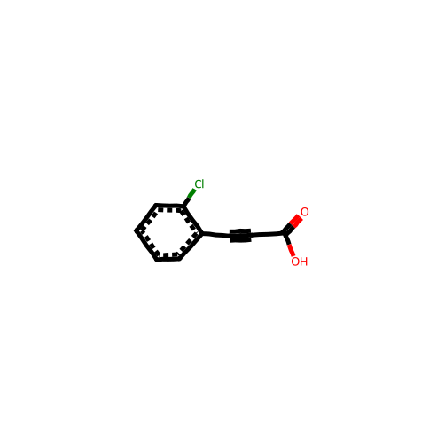 O=C(O)C#Cc1ccccc1Cl